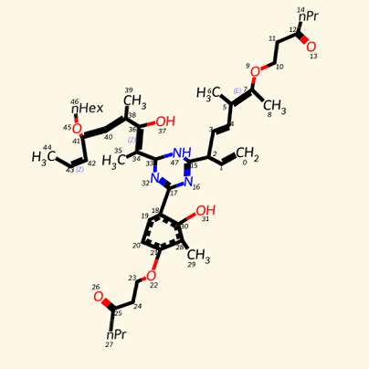 C=CC(C=C/C(C)=C(\C)OCCC(=O)CCC)C1=NC(c2ccc(OCCC(=O)CCC)c(C)c2O)=NC(/C(C)=C(\O)C(C)=C=C(/C=C\C)OCCCCCC)N1